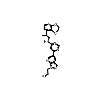 CC(CNc1cc(-c2cnc3c(cnn3CCO)c2)ncn1)c1ccnc2c1OCCO2